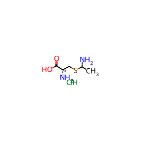 CC(N)SC[C@H](N)C(=O)O.Cl